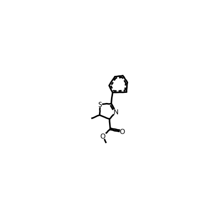 COC(=O)C1N=C(c2ccccc2)SC1C